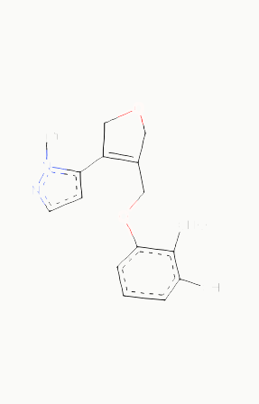 Cc1cccc(OCC2=C(c3ccnn3C(C)C)COC2)c1C=O